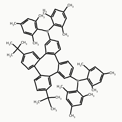 Cc1cc(C)c(B(c2ccc3c(c2)-c2cc(C(C)(C)C)ccc2-c2ccc(C(C)(C)C)cc2-c2cc(B(c4c(C)cc(C)cc4C)c4c(C)cc(C)cc4C)ccc2-3)c2c(C)cc(C)cc2C)c(C)c1